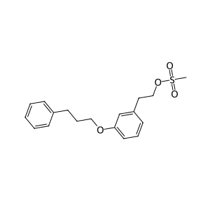 CS(=O)(=O)OCCc1cccc(OCCCc2ccccc2)c1